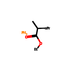 CCCC(C)C(=O)OCC.P